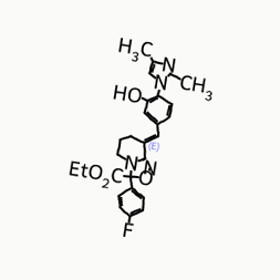 CCOC(=O)C1(c2ccc(F)cc2)ON=C2/C(=C/c3ccc(-n4cc(C)nc4C)c(O)c3)CCCN21